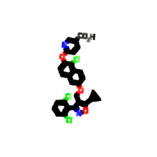 O=C(O)c1ccc(Oc2ccc3cc(OCc4c(-c5c(Cl)cccc5Cl)noc4C4CC4)ccc3c2Cl)nc1